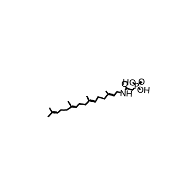 CC(C)=CCC/C(C)=C/CC/C(C)=C/CC/C(C)=C/CNC(=O)CP(=O)(O)O